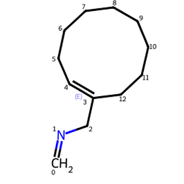 C=NC/C1=C/CCCCCCCC1